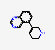 C1=C(c2cccc3ncncc23)CNCC1